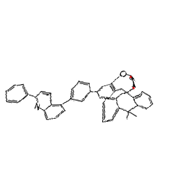 CC1(C)c2ccccc2C2(c3ccccc3Oc3cc(-c4cccc(-c5cccc6nc(-c7ccccc7)ccc56)c4)ccc32)c2ccccc21